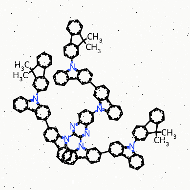 CC1(C)c2ccccc2-c2ccc(-n3c4ccccc4c4cc(-c5ccc6c7ccccc7n(-c7ccc8nc(-n9c%10ccccc%10c%10ccc(-c%11ccc%12c(c%11)c%11ccccc%11n%12-c%11ccc%12c(c%11)C(C)(C)c%11ccccc%11-%12)cc%109)c(-n9c%10ccccc%10c%10ccc(-c%11ccc%12c(c%11)c%11ccccc%11n%12-c%11ccc%12c(c%11)C(C)(C)c%11ccccc%11-%12)cc%109)nc8c7)c6c5)ccc43)cc21